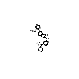 COc1cncnc1-c1ccc2nc(Nc3cc(C(C)N4CCNCC4)ccn3)[nH]c2c1